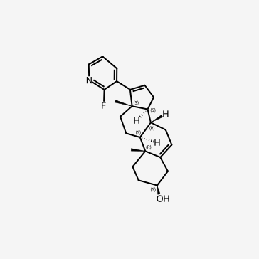 C[C@]12CC[C@H](O)CC1=CC[C@@H]1[C@@H]2CC[C@]2(C)C(c3cccnc3F)=CC[C@@H]12